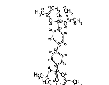 C=C(C)OP(=O)(OC(=C)C)c1ccc(-c2ccc(P(=O)(OC(=C)C)OC(=C)C)cc2)cc1